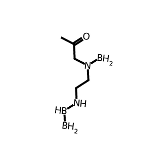 BBNCCN(B)CC(C)=O